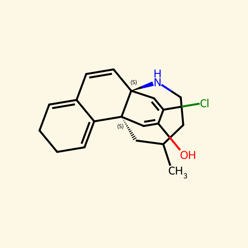 CC1CCN[C@]23C=CC4=CCCC=C4[C@@]2(C=C(O)C(Cl)=C3)C1